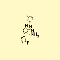 Cc1c(-c2cccc(F)c2)ccc2nc(-c3cccnc3)nc(N(C)N)c12